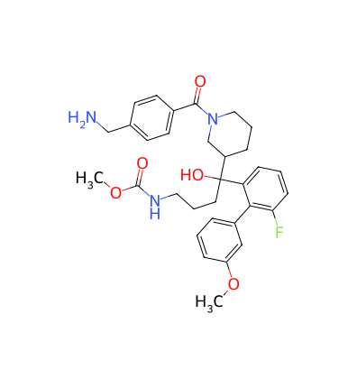 COC(=O)NCCCC(O)(c1cccc(F)c1-c1cccc(OC)c1)C1CCCN(C(=O)c2ccc(CN)cc2)C1